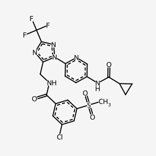 CS(=O)(=O)c1cc(Cl)cc(C(=O)NCc2nc(C(F)(F)F)nn2-c2ccc(NC(=O)C3CC3)cn2)c1